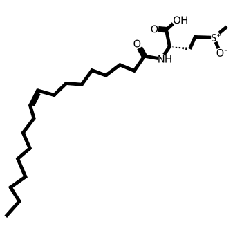 CCCCCCCC/C=C\CCCCCCCC(=O)N[C@@H](CC[S+](C)[O-])C(=O)O